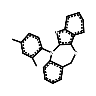 Cc1ccc(N2c3ccccc3COc3c2oc2ccccc32)c(C)c1